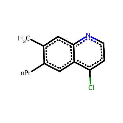 CCCc1cc2c(Cl)ccnc2cc1C